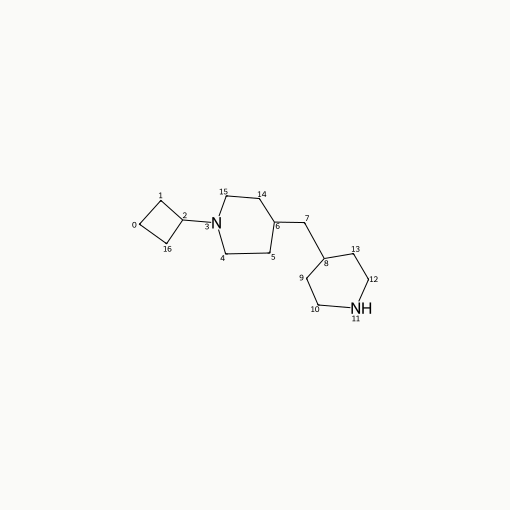 C1CC(N2CCC(CC3CCNCC3)CC2)C1